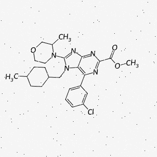 COC(=O)c1nc(-c2cccc(Cl)c2)c2c(n1)nc(N1CCOCC1C)n2CC1CCC(C)CC1